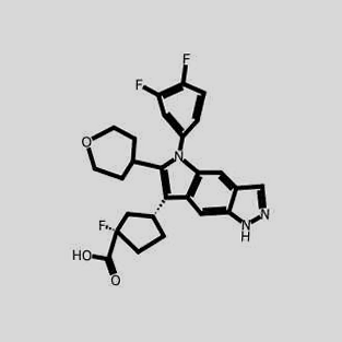 O=C(O)[C@]1(F)CC[C@@H](c2c(C3CCOCC3)n(-c3ccc(F)c(F)c3)c3cc4cn[nH]c4cc23)C1